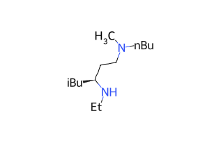 CCCCN(C)CC[C@@H](NCC)C(C)CC